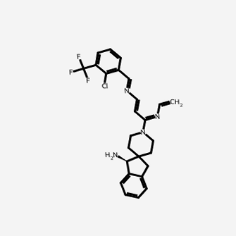 C=C\N=C(/C=C/N=C/c1cccc(C(F)(F)F)c1Cl)N1CCC2(CC1)Cc1ccccc1[C@H]2N